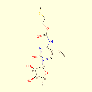 C=Cc1cn([C@@H]2O[C@H](C)[C@@H](O)[C@H]2O)c(=O)nc1NC(=O)OCCSC